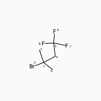 CC(C)(Br)CC(F)(F)F